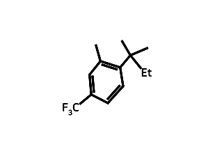 CCC(C)(C)c1ccc(C(F)(F)F)cc1C